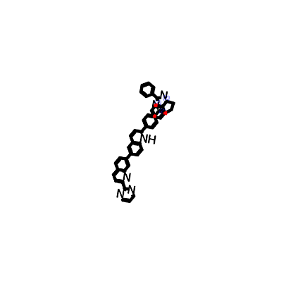 C1=CC(c2ccc(C3=C/CC/C(c4ccccc4)=N/C(c4ccccc4)=N\3)cc2)Nc2ccc(-c3ccc4ccc(-c5ncccn5)nc4c3)cc21